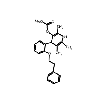 COC(=O)OC1=C(C)NC(C)=C(C)C1c1ccccc1OCCc1ccccc1